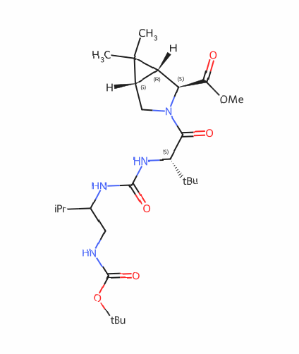 COC(=O)[C@@H]1[C@@H]2[C@H](CN1C(=O)[C@@H](NC(=O)NC(CNC(=O)OC(C)(C)C)C(C)C)C(C)(C)C)C2(C)C